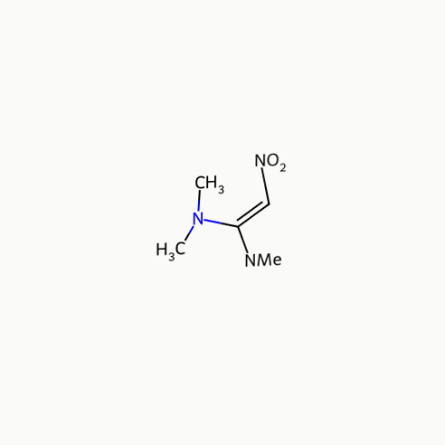 CNC(=C[N+](=O)[O-])N(C)C